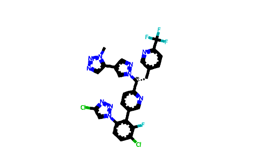 Cn1nncc1-c1cnn([C@H](Cc2ccc(C(F)(F)F)nc2)c2ccc(-c3c(-n4cc(Cl)nn4)ccc(Cl)c3F)cn2)c1